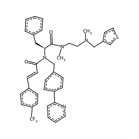 CN(CCN(C)C(=O)[C@H](Cc1ccccc1)N(Cc1ccc(-c2ccccn2)cc1)C(=O)C=Cc1ccc(C(F)(F)F)cc1)Cc1ccsc1